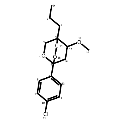 CCCC12COC(c3ccc(Cl)cc3)(CC1OC)OC2